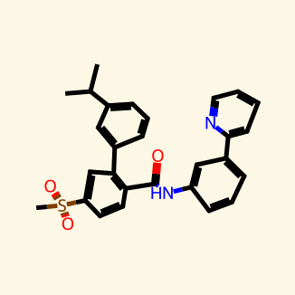 CC(C)c1cccc(-c2cc(S(C)(=O)=O)ccc2C(=O)Nc2cccc(-c3ccccn3)c2)c1